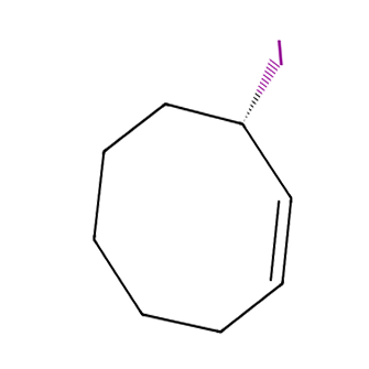 I[C@@H]1/C=C\CCCCC1